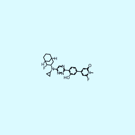 Cn1c(F)cc(-c2ccc(-c3ncc(N(C4CC4)[C@@H]4C[C@H]5CCC[C@H](C5)[C@@H]4F)nn3)c(O)c2)cc1=O